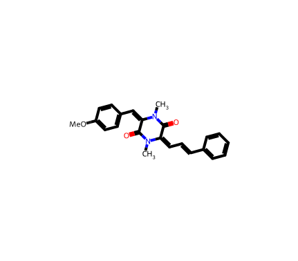 COc1ccc(C=c2c(=O)n(C)c(=CC=Cc3ccccc3)c(=O)n2C)cc1